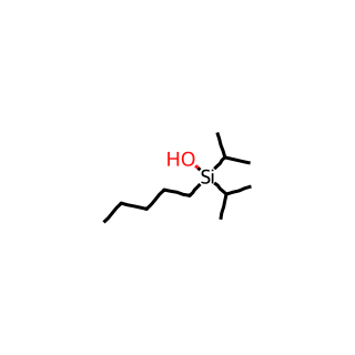 CCCCC[Si](O)(C(C)C)C(C)C